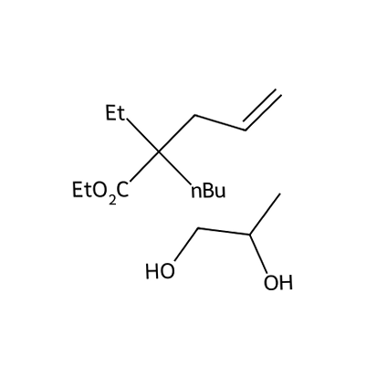 C=CCC(CC)(CCCC)C(=O)OCC.CC(O)CO